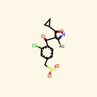 CC(=O)c1noc(C2CC2)c1C(=O)c1ccc(C[SH](=O)=O)cc1Cl